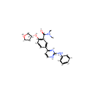 CN(C)C(=O)c1cc(-c2ccnc(Nc3ccccc3)n2)ccc1O[C@@H]1CCOC1